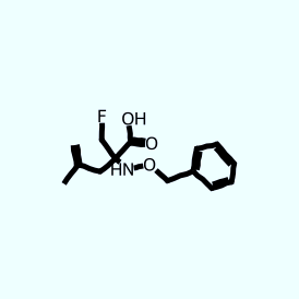 C=C(C)CC(CF)(NOCc1ccccc1)C(=O)O